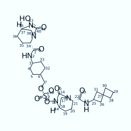 O=C(NC1CCC(COS(=O)(=O)ON2C(=O)N3C[C@H]2CC[C@H]3C(=O)NC2CC3(CCC3)C2)CC1)[C@@H]1CC[C@@H]2CN1C(=O)N2O